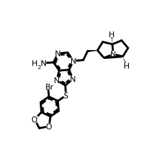 Nc1ncn(CC[C@H]2C[C@H]3CC[C@H]4C2N34)c2nc(Sc3cc4c(cc3Br)OCO4)nc1-2